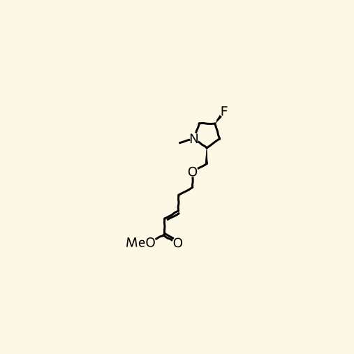 COC(=O)/C=C/CCOC[C@@H]1C[C@H](F)CN1C